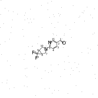 O=Cc1ccc(N2CC3C(C2)C3(F)F)nc1